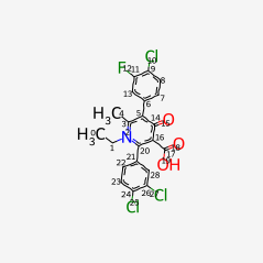 CCn1c(C)c(-c2ccc(Cl)c(F)c2)c(=O)c(C(=O)O)c1-c1ccc(Cl)c(Cl)c1